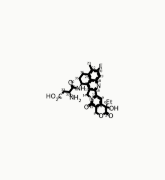 CC[C@@]1(O)C(=O)OCc2c1cc1n(c2=O)Cc2c-1nc1cc(F)c(C)c3c1c2[C@@H](NC(=O)[C@@H](N)CC(=O)O)CC3